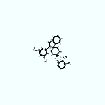 O=C(O)C1(Nc2cccc(Br)c2)CCC2(CC1)C(c1cc(Cl)cc(Cl)c1)=Cc1ccccc12